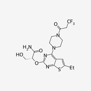 CCc1cc2c(N3CCN(C(=O)CC(F)(F)F)CC3)nc(O[C@H](CO)C(N)=O)nc2s1